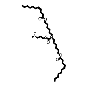 CCCCCC/C=C\CCC(=O)OCCCCCCN(CCCCCCOC(=O)CC/C=C\CCCCCC)C(=O)SCCCNC